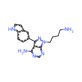 NCCCCn1nc(-c2ccc3[nH]ccc3c2)c2c(N)ncnc21